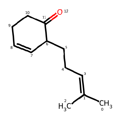 CC(C)=CCCC1C=CCCC1=O